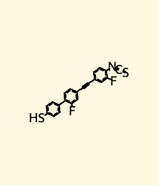 Fc1cc(C#Cc2ccc(-c3ccc(S)cc3)c(F)c2)ccc1N=C=S